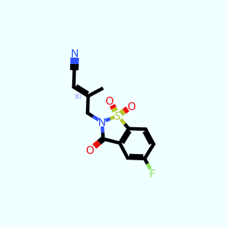 C/C(=C\C#N)CN1C(=O)c2cc(F)ccc2S1(=O)=O